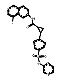 O=C(Nc1ccc2cncc(Cl)c2c1)C1CC1c1ccc(S(=O)(=O)Nc2cnccn2)cc1